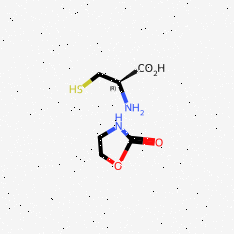 N[C@@H](CS)C(=O)O.O=C1NCCO1